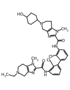 CCN1CCc2c(nc(C(=O)Nc3cccc(-c4cccc(NC(=O)c5nc6c(n5C)CCN(C5CCC(O)CC5)C6)c4Cl)c3Cl)n2C)C1